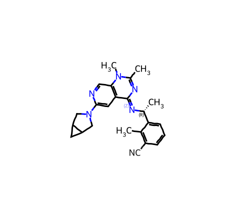 Cc1c(C#N)cccc1[C@@H](C)/N=c1\nc(C)n(C)c2cnc(N3CC4CC4C3)cc12